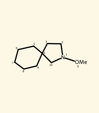 CON1CCC2(CCCCC2)C1